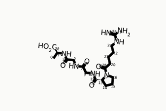 C[C@H](NC(=O)CNC(=O)CNC(=O)[C@H]1CCCN1C(=O)CCCCNC(=N)N)C(=O)O